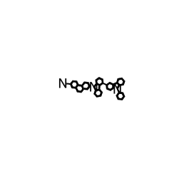 N#Cc1ccc2c(ccc3cc(-n4c5ccccc5c5c(-c6ccc7c(c6)c6ccccc6n7-c6ccccc6)cccc54)ccc32)c1